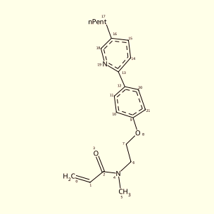 C=CC(=O)N(C)CCOc1ccc(-c2ccc(CCCCC)cn2)cc1